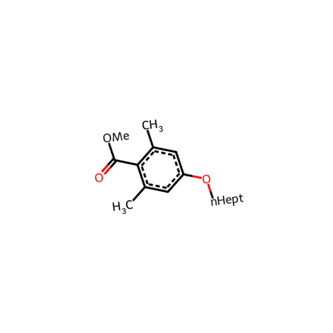 CCCCCCCOc1cc(C)c(C(=O)OC)c(C)c1